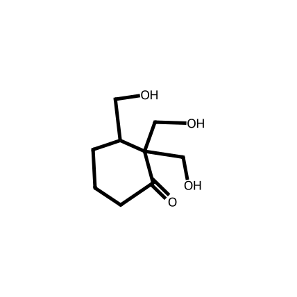 O=C1CCCC(CO)C1(CO)CO